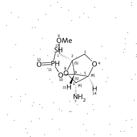 COC[C@@]12CO[C@@H]([C@H](N)O1)[C@@H]2O[PH](=O)S